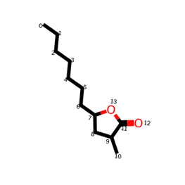 CCCCCCCC1CC(C)C(=O)O1